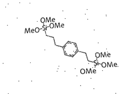 CO[Si](CCCc1ccc(CC[Si](OC)(OC)OC)cc1)(OC)OC